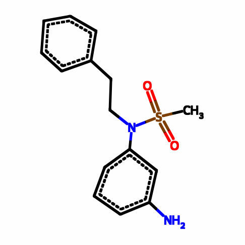 CS(=O)(=O)N(CCc1ccccc1)c1cccc(N)c1